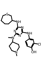 CN1CCC(N(C)c2nc(Nc3ccc(O)c(Cl)c3)nc(NC3CCCCSC3)n2)CC1